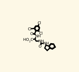 O=C(NCC(NC(=O)c1c(Cl)cc(Cl)cc1Cl)C(=O)O)N[C@H]1CCc2ccccc21